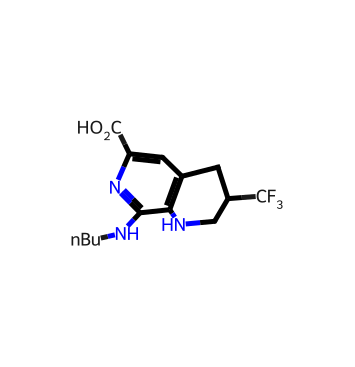 CCCCNc1nc(C(=O)O)cc2c1NCC(C(F)(F)F)C2